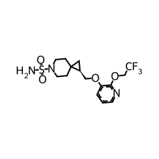 NS(=O)(=O)N1CCC2(CC1)C[C@H]2COc1cccnc1OCC(F)(F)F